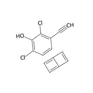 C#Cc1ccc(Cl)c(O)c1Cl.c1cc2ccc1-2